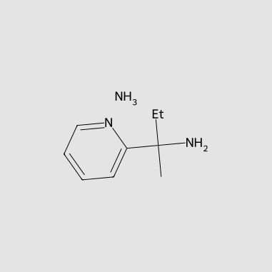 CCC(C)(N)c1ccccn1.N